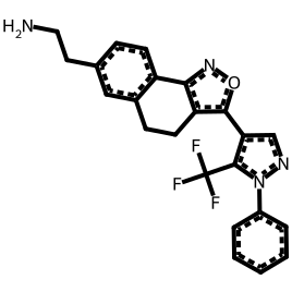 NCCc1ccc2c(c1)CCc1c-2noc1-c1cnn(-c2ccccc2)c1C(F)(F)F